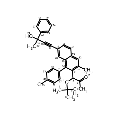 CC(=O)C(OC(C)(C)C)c1c(C)cc2ccc(C#CC(C)(O)c3ccccc3)cc2c1-c1ccc(Cl)cc1